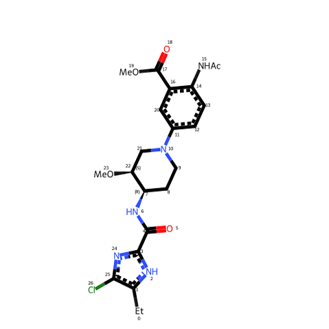 CCc1[nH]c(C(=O)N[C@@H]2CCN(c3ccc(NC(C)=O)c(C(=O)OC)c3)C[C@@H]2OC)nc1Cl